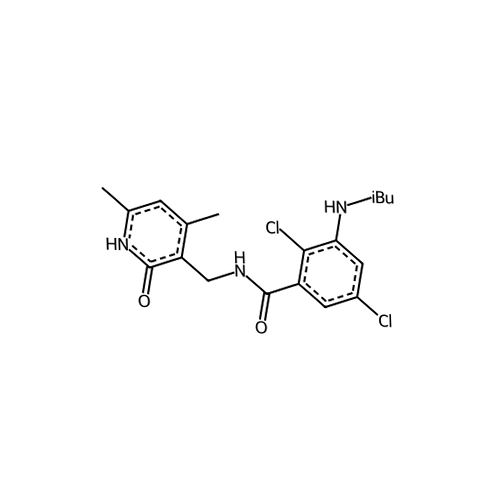 CCC(C)Nc1cc(Cl)cc(C(=O)NCc2c(C)cc(C)[nH]c2=O)c1Cl